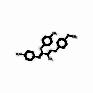 COc1ccc(O/C=C(C)/C(=N/c2ccc(C)cc2)Oc2ccc(C)cc2)cc1